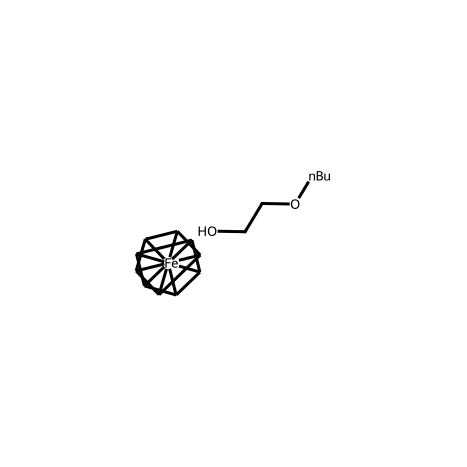 CCCCOCCO.[CH]12[CH]3[CH]4[CH]5[CH]1[Fe]23451678[CH]2[CH]1[CH]6[CH]7[CH]28